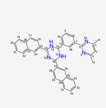 Cc1cc(C)nc(-c2cccc(C3NC(c4ccc5ccccc5c4)=NC(c4ccc5ccccc5c4)N3)c2)n1